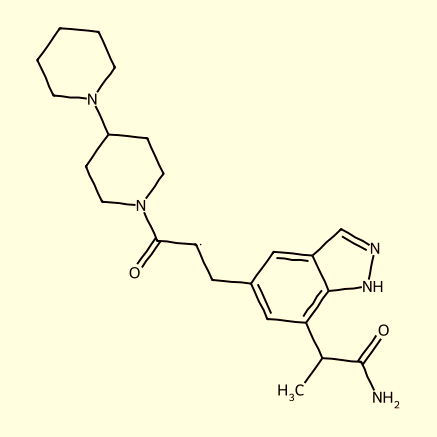 CC(C(N)=O)c1cc(C[CH]C(=O)N2CCC(N3CCCCC3)CC2)cc2cn[nH]c12